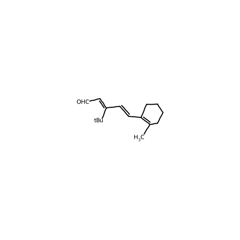 CC1=C(/C=C/C(=C/C=O)C(C)(C)C)CCCC1